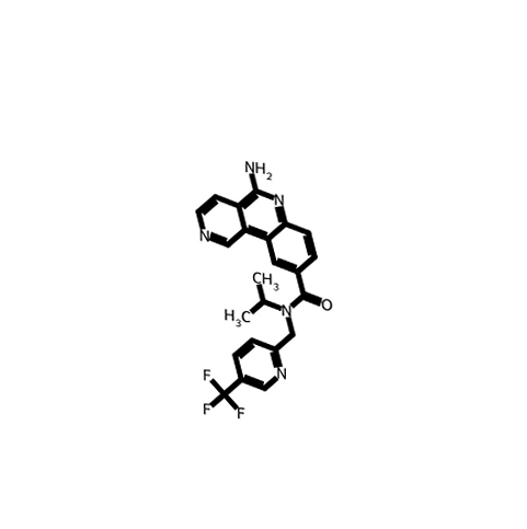 CC(C)N(Cc1ccc(C(F)(F)F)cn1)C(=O)c1ccc2nc(N)c3ccncc3c2c1